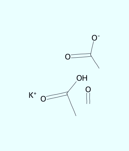 C=O.CC(=O)O.CC(=O)[O-].[K+]